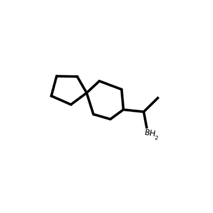 BC(C)C1CCC2(CCCC2)CC1